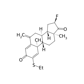 C=C1C[C@@H]2[C@H](CC[C@]3(C)C(=O)[C@H](F)C[C@@H]23)[C@@]2(C)C=C(SCC)C(=O)C=C12